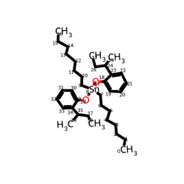 CCCCCCC[CH2][Sn]([CH2]CCCCCCC)([O]c1ccccc1C(C)CC)[O]c1ccccc1C(C)CC